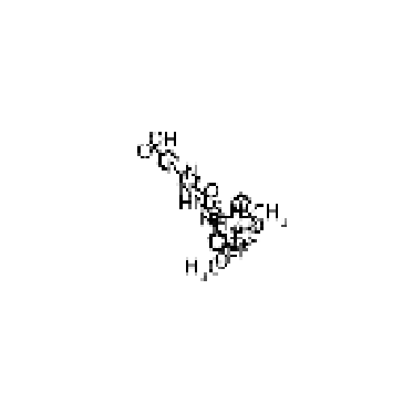 COc1ccc(-c2nc(NC(=O)c3cnc(N4CCC(C(=O)O)CC4)cn3)sc2CN2CCC[C@H]2C(C)(C)OC)cc1C(F)(F)F